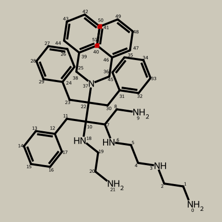 NCCNCCNC(CN)C(Cc1ccccc1)(NCCN)C(Cc1ccccc1)(Cc1ccccc1)N(Cc1ccccc1)Cc1ccccc1